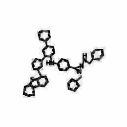 c1ccc(CNN2C(c3ccc(Nc4ccc(-c5ccccc5)cc4-c4cccc(-c5cccc6c5sc5ccccc56)c4)cc3)[N@@]2Cc2ccccc2)cc1